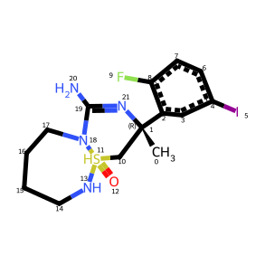 C[C@@]1(c2cc(I)ccc2F)C[SH]2(=O)NCCCCN2C(N)=N1